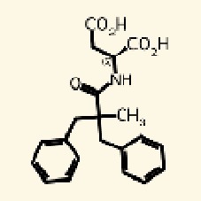 CC(Cc1ccccc1)(Cc1ccccc1)C(=O)N[C@@H](CC(=O)O)C(=O)O